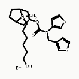 C[N+]1(CCCCCCO)C2CCC1CC(OC(=O)N(Cc1ccsc1)c1ccsc1)C2.[Br-]